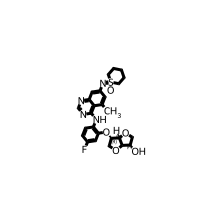 Cc1cc(N=S2(=O)CCCCC2)cc2ncnc(Nc3ccc(F)cc3O[C@@H]3COC4[C@H](O)CO[C@@H]43)c12